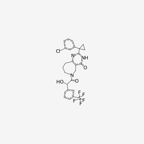 O=C(C(O)c1cccc(S(F)(F)(F)(F)F)c1)N1CCCc2nc(C3(c4cccc(Cl)c4)CC3)[nH]c(=O)c2C1